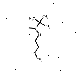 CNCCN[SiH](Cl)C(C)(C)C